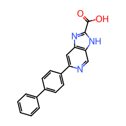 O=C(O)c1nc2cc(-c3ccc(-c4ccccc4)cc3)ncc2[nH]1